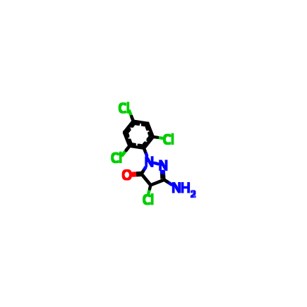 NC1=NN(c2c(Cl)cc(Cl)cc2Cl)C(=O)C1Cl